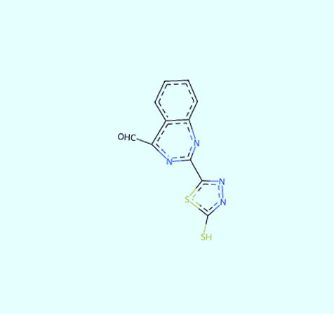 O=Cc1nc(-c2nnc(S)s2)nc2ccccc12